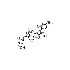 CC(C)(CO)C(=O)SCCOP(=O)(OC[C@H]1O[C@@H](n2ccc(N)nc2=O)[C@](C)(O)[C@@H]1O)N1CCOCC1